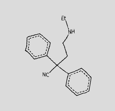 CCNCCC(C#N)(c1ccccc1)c1ccccc1